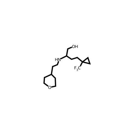 OCC(CCC1(C(F)(F)F)CC1)NCCC1CCOCC1